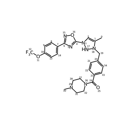 CC1=CN(c2nc(-c3ccc(OC(F)(F)F)cc3)no2)NN1Cc1ccc(C(=O)N2CCN(C)CC2)cc1